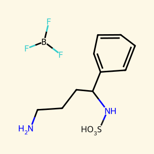 FB(F)F.NCCCC(NS(=O)(=O)O)c1ccccc1